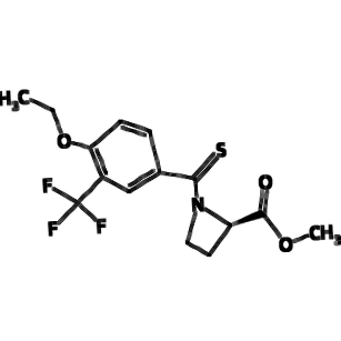 CCOc1ccc(C(=S)N2CC[C@@H]2C(=O)OC)cc1C(F)(F)F